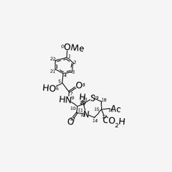 COc1ccc(C(O)C(=O)NC2C(=O)N3CC(C(C)=O)(C(=O)O)CS[C@H]23)cc1